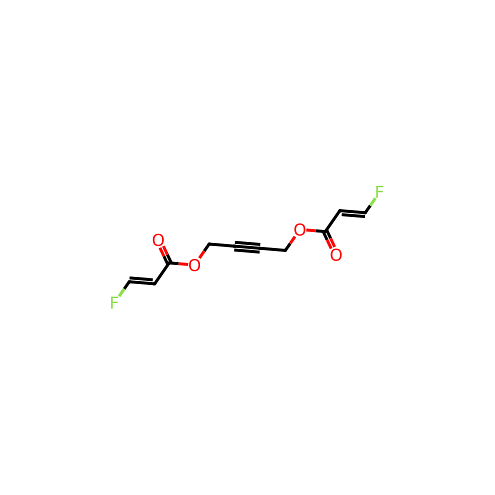 O=C(/C=C/F)OCC#CCOC(=O)/C=C/F